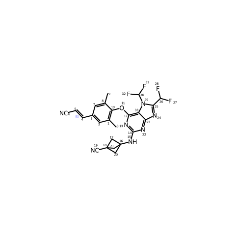 Cc1cc(/C=C/C#N)cc(C)c1Oc1nc(NC23CC(C#N)(C2)C3)nc2nc(C(F)F)n(C(F)F)c12